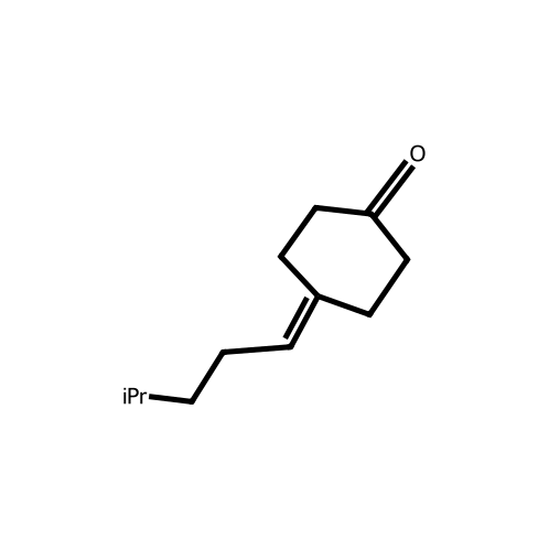 CC(C)CCC=C1CCC(=O)CC1